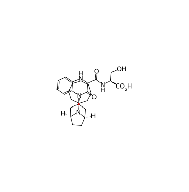 O=C(N[C@@H](CO)C(=O)O)C1Nc2ccccc2N([C@H]2C[C@H]3CC[C@@H](C2)N3C2CCCCCCC2)C1=O